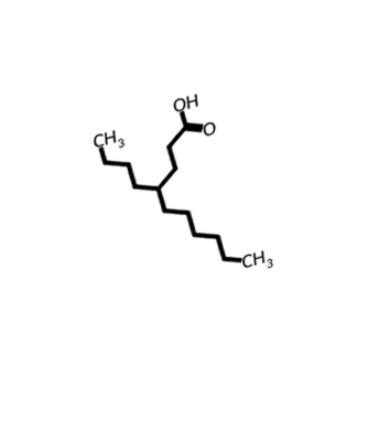 CCCCCCC(CCCC)CCC(=O)O